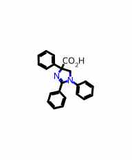 O=C(O)C1(c2ccccc2)CN(c2ccccc2)C(c2ccccc2)=N1